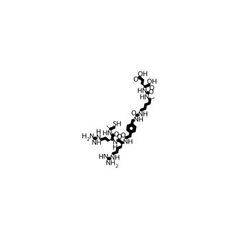 C[C@H](CCCCNC(=O)NCc1ccc(CC(=O)N[C@@H](CCCCNC(=N)N)C(=O)N[C@@H](CCCNC(=N)N)C(=O)N[C@H](C)CS)cc1)NC(=O)N[C@@H](CCC(=O)O)C(=O)O